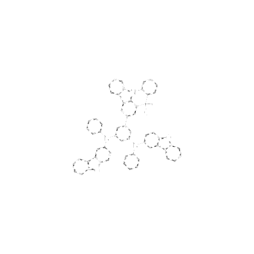 CC1(C)c2ccccc2-n2c3ccccc3c3cc(-c4cc(N(c5ccccc5)c5ccc6oc7ccccc7c6c5)cc(N(c5ccccc5)c5ccc6oc7ccccc7c6c5)c4)cc1c32